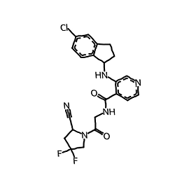 N#CC1CC(F)(F)CN1C(=O)CNC(=O)c1ccncc1NC1CCc2cc(Cl)ccc21